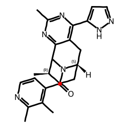 Cc1nc(-c2ccn[nH]2)c2c(n1)C1[C@H](C)CC[C@@H](C2)N1C(=O)c1ccnc(C)c1C